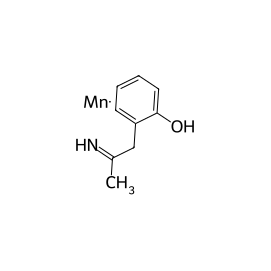 CC(=N)Cc1ccccc1O.[Mn]